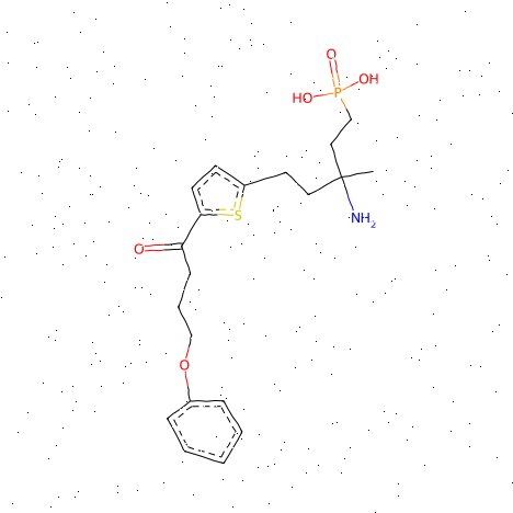 CC(N)(CCc1ccc(C(=O)CCCOc2ccccc2)s1)CCP(=O)(O)O